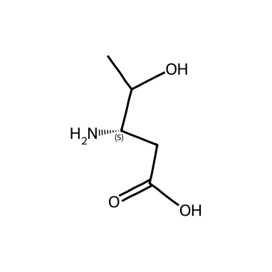 CC(O)[C@@H](N)CC(=O)O